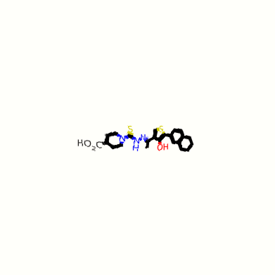 C/C(=N\NC(=S)N1CCC(C(=O)O)CC1)c1csc(-c2ccc3c(c2)CCCC3)c1O